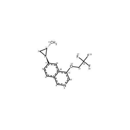 C[C@H]1C[C@@H]1c1ccc2cncc(OCC(F)(F)F)c2c1